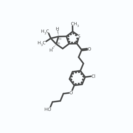 Cc1sc(C(=O)CCc2ccc(OCCCO)cc2Cl)c2c1[C@H]1[C@@H](C2)C1(C)C